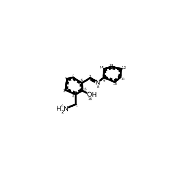 NCc1cccc(C=Nc2ccccc2)c1O